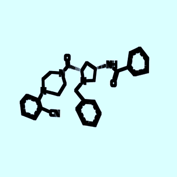 N#Cc1ccccc1N1CCN(C(=O)[C@@H]2C[C@H](NC(=O)c3ccccc3)CN2Cc2ccccc2)CC1